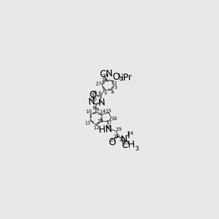 CC(C)Oc1ccc(-c2nc(-c3cccc4c3CC[C@@H]4NCC(=O)N(C)I)no2)cc1C#N